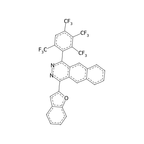 FC(F)(F)c1cc(C(F)(F)F)c(C(F)(F)F)c(C(F)(F)F)c1-c1nnc(-c2cc3ccccc3o2)c2cc3ccccc3cc12